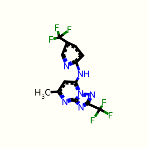 Cc1cc(Nc2ccc(C(F)(F)F)cn2)n2nc(C(F)(F)F)nc2n1